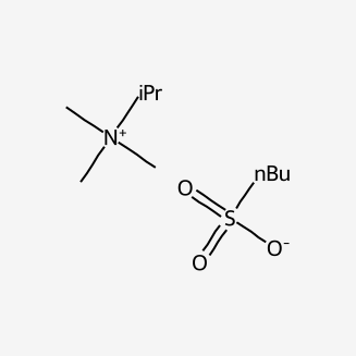 CC(C)[N+](C)(C)C.CCCCS(=O)(=O)[O-]